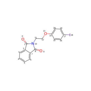 O=C1c2ccccc2C(=O)N1CCOc1ccc(I)cc1